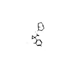 COc1cc(C(F)(F)F)ccc1C1(C(=O)NC2CCC3CCC2N3)CC1